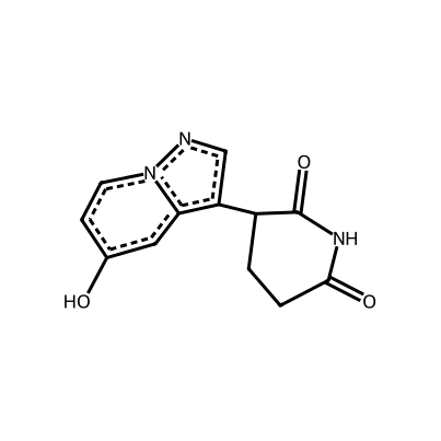 O=C1CCC(c2cnn3ccc(O)cc23)C(=O)N1